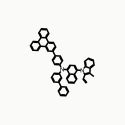 C=Cc1c(C)c2ccccc2n1-c1ccc(N(c2ccc(-c3ccc4c5ccccc5c5ccccc5c4c3)cc2)c2cccc(-c3ccccc3)c2)c2ccccc12